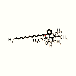 CCCCCCCCCCCCCCCc1cccc(OCC)c1C1C(C(=O)OCC)=C(C)NC(=O)N1C(=O)OCC